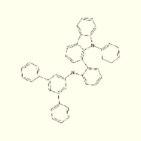 C1=CCCC(n2c3ccccc3c3ccc4c(c5ccccc5n4-c4cc(-c5ccccc5)nc(-c5ccccc5)c4)c32)=C1